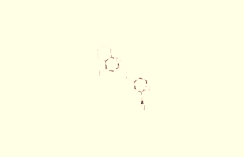 N#Cc1cc(COc2cc(Cl)c3c(n2)CCCC3)ccn1